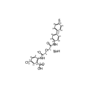 O=C(COCC(=O)Nc1ccc(Cl)cc1C(=O)O)Nc1ccc(-c2ccc(F)cc2)cc1.[NaH]